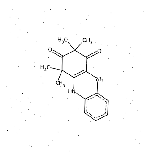 CC1(C)C(=O)C2=C(Nc3ccccc3N2)C(C)(C)C1=O